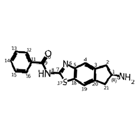 N[C@@H]1Cc2cc3nc(NC(=O)c4ccccc4)sc3cc2C1